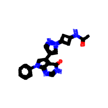 CC(=O)NC1CC(n2cc(-c3cn(-c4ccccc4)c4nc[nH]c(=O)c34)cn2)C1